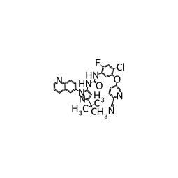 CC(C)(C)c1cc(NC(=O)Nc2cc(Oc3ccc(C#N)nc3)c(Cl)cc2F)n(-c2ccc3ncccc3c2)n1